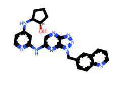 O[C@@H]1CCCC1Nc1ccnc(Nc2cnc3nnn(Cc4ccc5ncccc5c4)c3n2)c1